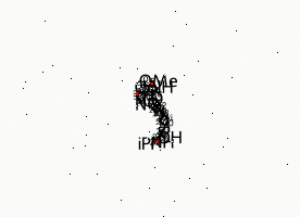 COC(=O)C1=C(C)NC(C)=C(C(=O)OC2CCCN(Cc3ccc(OCC(O)CNC(C)C)cc3)C2)C1c1cccc([N+](=O)[O-])c1